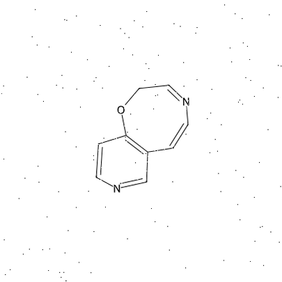 C1=Cc2cnccc2OCC=N1